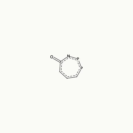 O=c1cccppn1